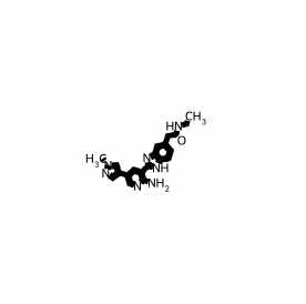 CCNC(=O)Cc1ccc2[nH]c(-c3cc(-c4cnn(C)c4)cnc3N)nc2c1